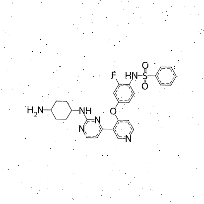 NC1CCC(Nc2nccc(-c3cnccc3Oc3ccc(NS(=O)(=O)c4ccccc4)c(F)c3)n2)CC1